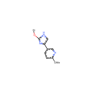 CCOc1nc(-c2ccc(OC)nc2)c[nH]1